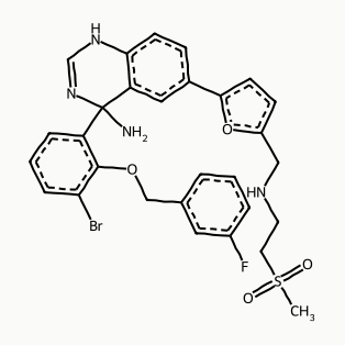 CS(=O)(=O)CCNCc1ccc(-c2ccc3c(c2)C(N)(c2cccc(Br)c2OCc2cccc(F)c2)N=CN3)o1